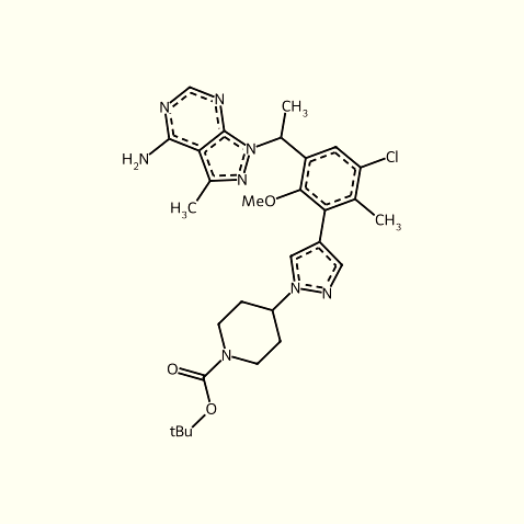 COc1c(C(C)n2nc(C)c3c(N)ncnc32)cc(Cl)c(C)c1-c1cnn(C2CCN(C(=O)OC(C)(C)C)CC2)c1